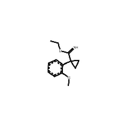 CCOC(=N)C1(c2ccccc2OC)CC1